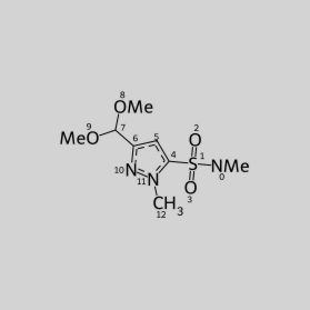 CNS(=O)(=O)c1cc(C(OC)OC)nn1C